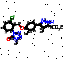 CCOC(=O)c1[nH]nc(-c2ccc(OCc3c(Cl)cccc3-n3nnn(C)c3=O)c(C)c2)c1C